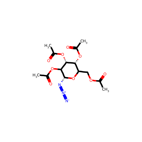 CC(=O)OCC1O[C@H](N=[N+]=[N-])C(OC(C)=O)[C@H](OC(C)=O)[C@@H]1OC(C)=O